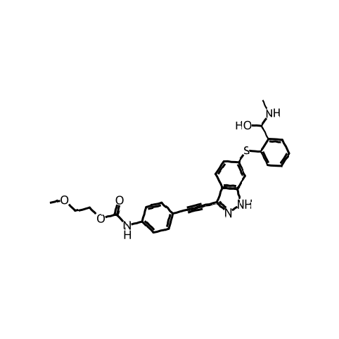 CNC(O)c1ccccc1Sc1ccc2c(C#Cc3ccc(NC(=O)OCCOC)cc3)n[nH]c2c1